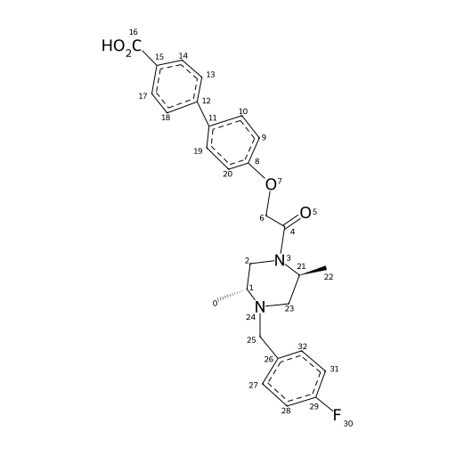 C[C@@H]1CN(C(=O)COc2ccc(-c3ccc(C(=O)O)cc3)cc2)[C@@H](C)CN1Cc1ccc(F)cc1